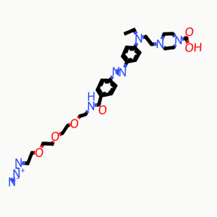 CCN(CCN1CCN(C(=O)O)CC1)c1ccc(N=Nc2ccc(C(=O)NCCOCCOCCOCCN=[N+]=[N-])cc2)cc1